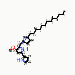 CCCCCCCCCCCCCC1=N/C(=C/c2[nH]c(-c3ccc[nH]3)cc2OC)C=C1